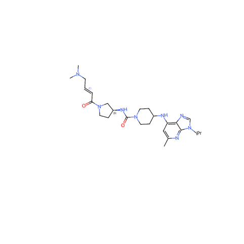 Cc1cc(NC2CCN(C(=O)N[C@H]3CCN(C(=O)/C=C/CN(C)C)C3)CC2)c2ncn(C(C)C)c2n1